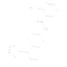 CSc1ncccc1C(=O)NC1CCC(C(c2cccs2)N(C)C)CC1